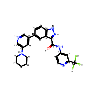 O=C(Nc1ccnc(C(F)(F)F)c1)c1n[nH]c2ccc(-c3cncc(N4CCCCC4)c3)cc12